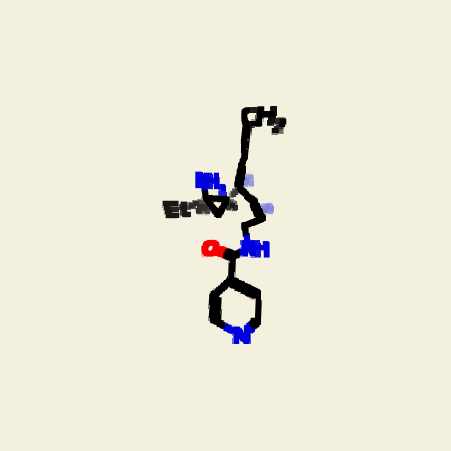 C=C/C=C(\C=C/CNC(=O)c1ccncc1)[C@@H]1C[C@]1(N)CC